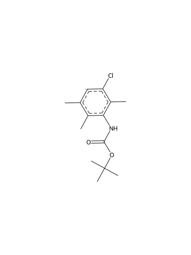 Cc1[c]c(Cl)c(C)c(NC(=O)OC(C)(C)C)c1C